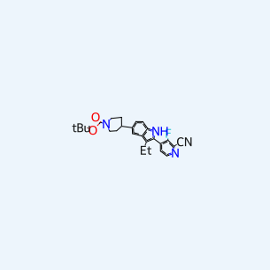 CCc1c(-c2ccnc(C#N)c2F)[nH]c2ccc(C3CCN(C(=O)OC(C)(C)C)CC3)cc12